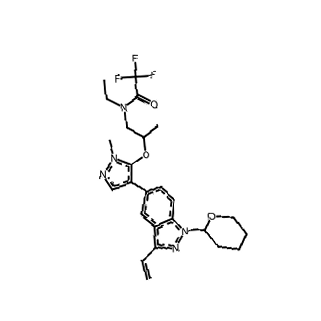 C=Cc1nn(C2CCCCO2)c2ccc(-c3cnn(C)c3OC(C)CN(CC)C(=O)C(F)(F)F)cc12